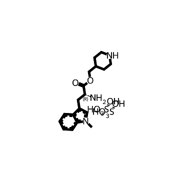 Cn1cc(C[C@@H](N)C(=O)OCC2CCNCC2)c2ccccc21.O=S(=O)(O)O.O=S(=O)(O)O